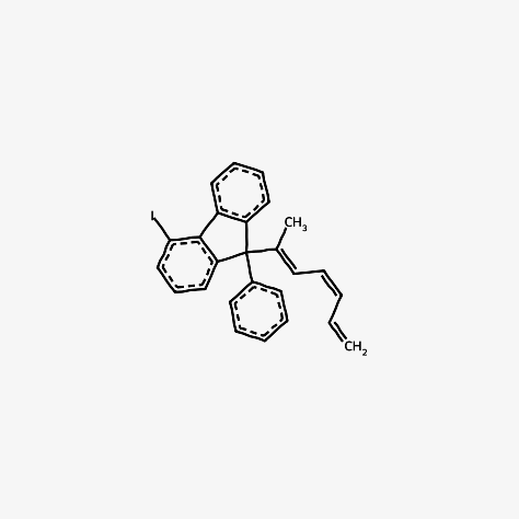 C=C/C=C\C=C(/C)C1(c2ccccc2)c2ccccc2-c2c(I)cccc21